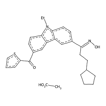 CC(=O)O.CCn1c2ccc(C(=O)c3cccs3)cc2c2cc(C(CCC3CCCC3)=NO)ccc21